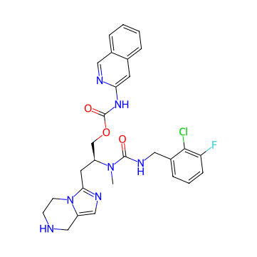 CN(C(=O)NCc1cccc(F)c1Cl)[C@H](COC(=O)Nc1cc2ccccc2cn1)Cc1ncc2n1CCNC2